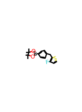 CC1(C)OB(c2ccc(Cc3sccc3F)cc2)OC1(C)C